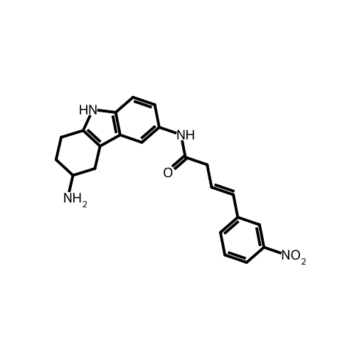 NC1CCc2[nH]c3ccc(NC(=O)C/C=C/c4cccc([N+](=O)[O-])c4)cc3c2C1